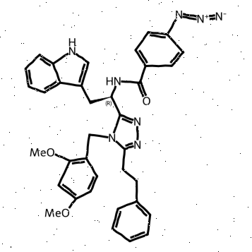 COc1ccc(Cn2c(CCc3ccccc3)nnc2[C@@H](Cc2c[nH]c3ccccc23)NC(=O)c2ccc(N=[N+]=[N-])cc2)c(OC)c1